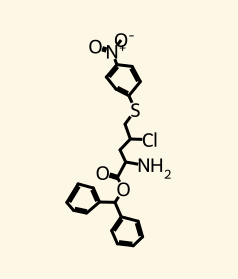 NC(CC(Cl)CSc1ccc([N+](=O)[O-])cc1)C(=O)OC(c1ccccc1)c1ccccc1